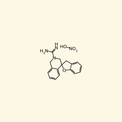 N=C(N)N1Cc2ccccc2C2(Cc3ccccc3O2)C1.O=[N+]([O-])O